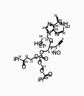 C#C[C@H](N=O)[C@@](CC)(COP(=O)(OCCC(=O)C(C)C)OCOC(=O)C(C)C)O[C@H](CO)n1cnc(C(=C)N)c1/N=C\C